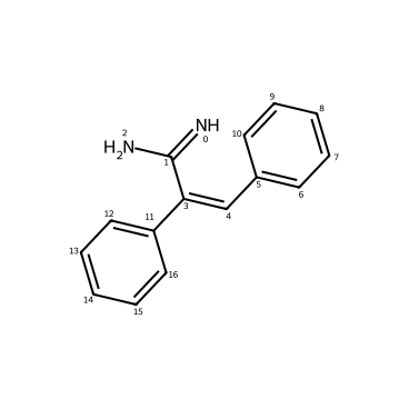 N=C(N)C(=Cc1ccccc1)c1ccccc1